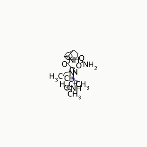 CC(=O)NC(C)(C)/C=C/n1ncc(C(=O)N[C@@H]2C3CC4CC(OC(N)=O)CC2C(C4)C3)c1CC(C)C